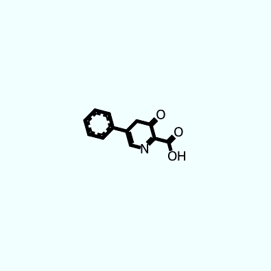 O=C(O)C1=NC=C(c2ccccc2)CC1=O